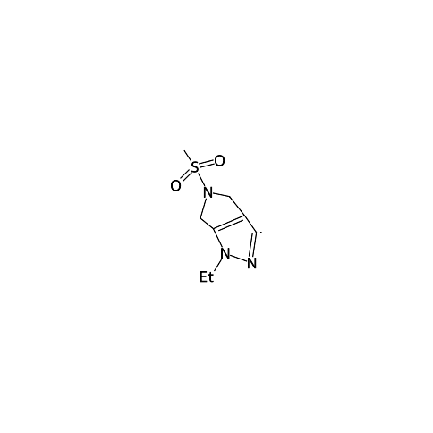 CCn1n[c]c2c1CN(S(C)(=O)=O)C2